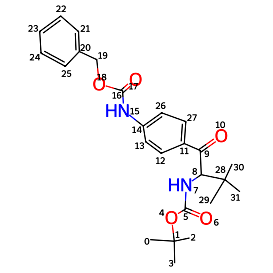 CC(C)(C)OC(=O)NC(C(=O)c1ccc(NC(=O)OCc2ccccc2)cc1)C(C)(C)C